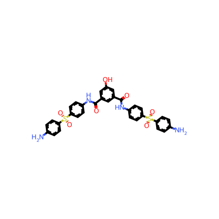 Nc1ccc(S(=O)(=O)c2ccc(NC(=O)c3cc(O)cc(C(=O)Nc4ccc(S(=O)(=O)c5ccc(N)cc5)cc4)c3)cc2)cc1